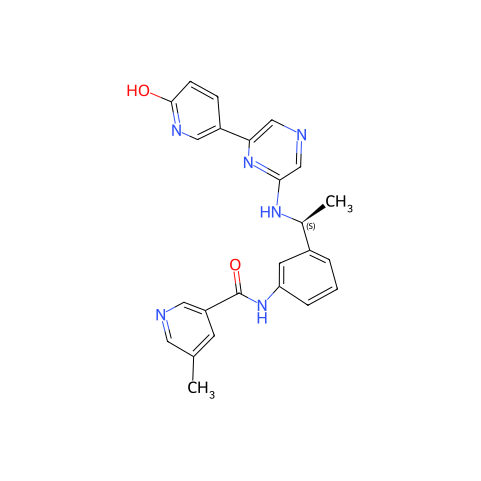 Cc1cncc(C(=O)Nc2cccc([C@H](C)Nc3cncc(-c4ccc(O)nc4)n3)c2)c1